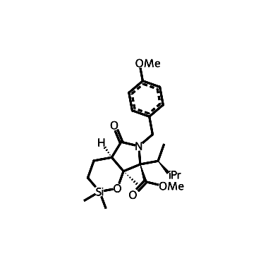 COC(=O)[C@]1([C@@H](C)C(C)C)N(Cc2ccc(OC)cc2)C(=O)[C@@H]2CC[Si](C)(C)O[C@@]21C